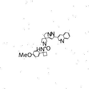 COc1ccc(C2(NC(=O)N3CCC4(CCn5nc(-c6cnc7ccccc7c6)cc54)C3)CCC2)cc1